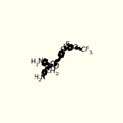 [CH2]C(COC(=O)/C=C/c1ccc(OC(F)(F)c2ccc(OCCCC(F)(F)F)cc2F)cc1)(Cc1ccc(N)cc1)Cc1ccc(N)cc1